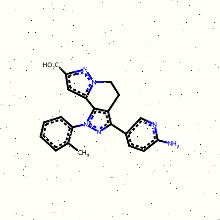 Cc1ccccc1-n1nc(-c2ccc(N)nc2)c2c1-c1cc(C(=O)O)nn1CC2